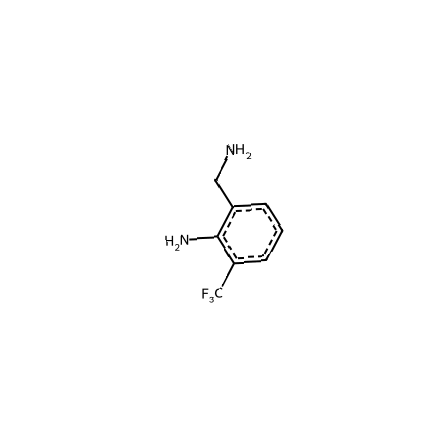 NCc1cccc(C(F)(F)F)c1N